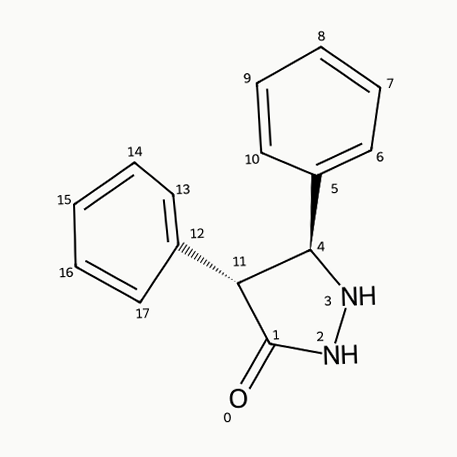 O=C1NN[C@H](c2ccccc2)[C@H]1c1ccccc1